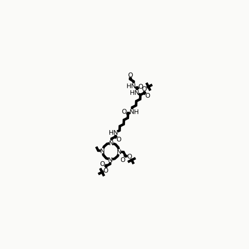 CCN1CCN(CC(=O)NCCCCCC(=O)NCCCCC(NC(=O)NCC=O)C(=O)OC(C)(C)C)CCN(CC(=O)OC(C)(C)C)CCN(CC(=O)OC(C)(C)C)CC1